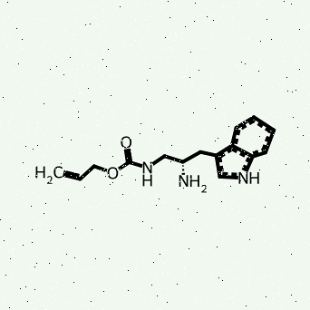 C=CCOC(=O)NC[C@@H](N)Cc1c[nH]c2ccccc12